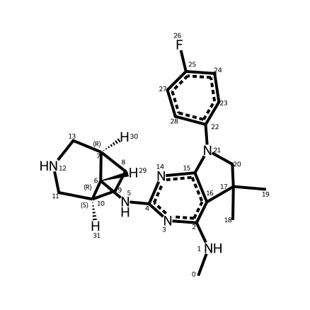 CNc1nc(N[C@H]2[C@@H]3CC[C@H]2CNC3)nc2c1C(C)(C)CN2c1ccc(F)cc1